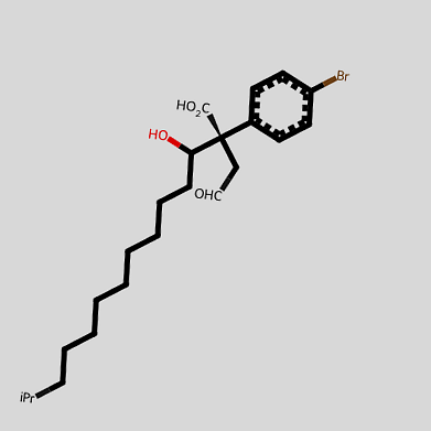 CC(C)CCCCCCCCCC(O)[C@](CC=O)(C(=O)O)c1ccc(Br)cc1